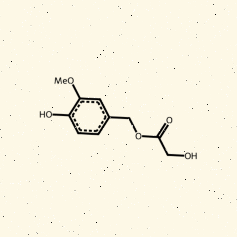 COc1cc(COC(=O)CO)ccc1O